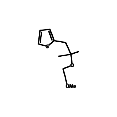 COCOC(C)(C)Cc1cccs1